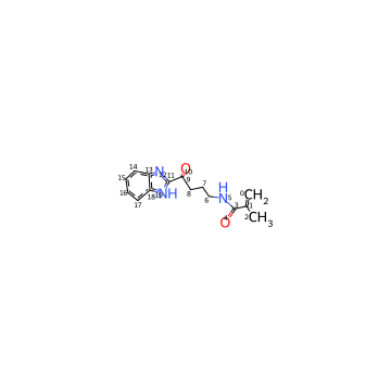 C=C(C)C(=O)NCCCC(=O)c1nc2ccccc2[nH]1